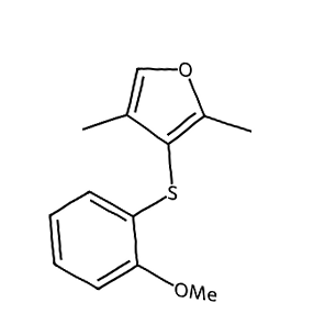 COc1ccccc1Sc1c(C)coc1C